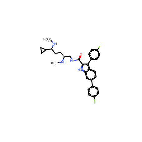 O=C(O)NC(CC[C@@H](CNC(=O)c1[nH]c2cc(-c3ccc(F)cc3)ccc2c1-c1ccc(F)cc1)NC(=O)O)C1CC1